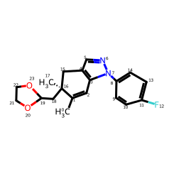 CC1=Cc2c(cnn2-c2ccc(F)cc2)C[C@]1(C)CC1OCCO1